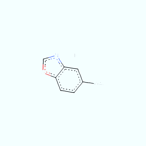 CC(=O)Oc1ccc2ocnc2c1.[H+]